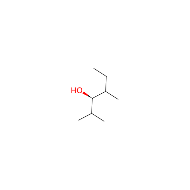 CCC(C)[C@H](O)C(C)C